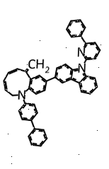 C=C1/C=C\C=C/CN(c2ccc(-c3ccccc3)cc2)c2ccc(-c3ccc4c(c3)c3ccccc3n4-c3cccc(-c4ccccc4)n3)cc21